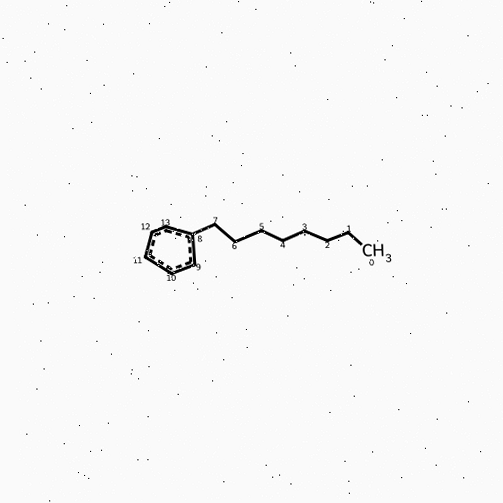 CCC[CH]CCCCc1ccccc1